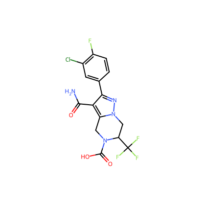 NC(=O)c1c(-c2ccc(F)c(Cl)c2)nn2c1CN(C(=O)O)C(C(F)(F)F)C2